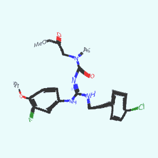 COC(=O)CN(C(C)=O)C(=O)/N=C(\NCc1ccc(Cl)cc1)Nc1ccc(OC(C)C)c(F)c1